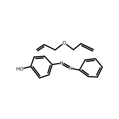 C=CCOCC=C.Oc1ccc(/N=N/c2ccccc2)cc1